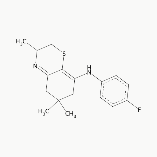 CC1CSC2=C(Nc3ccc(F)cc3)CC(C)(C)CC2=N1